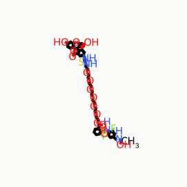 CC(O)NCc1cc(F)c(NS(=O)(=O)C2CCCC=C2C(=O)OCCOCCOCCOCCOCCOCCOCCNC(=S)Nc2ccc3c(c2)C(=O)OC32c3ccc(O)cc3Oc3cc(O)ccc32)c(F)c1